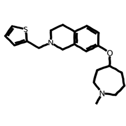 CN1CCCC(Oc2ccc3c(c2)CN(Cc2cccs2)CC3)CC1